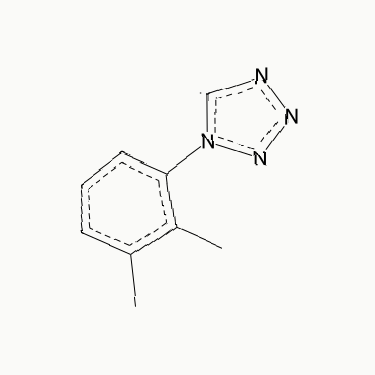 Cc1cccc(-n2[c]nnn2)c1C